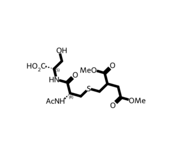 COC(=O)CC(CSC[C@H](NC(C)=O)C(=O)N[C@@H](CO)C(=O)O)C(=O)OC